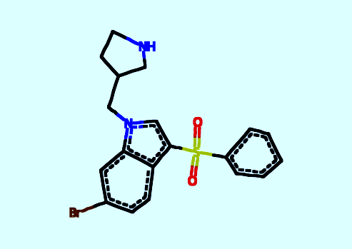 O=S(=O)(c1ccccc1)c1cn(CC2CCNC2)c2cc(Br)ccc12